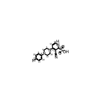 N#CC1=C(N2CCN(c3ccc(F)cc3)CC2)C=CNC1S(=O)(=O)O